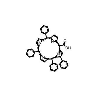 O=C(O)c1c2nc(c(-c3ccccc3)c3ccc([nH]3)c(-c3ccccc3)c3nc(c(-c4ccccc4)c4[nH]c1cc4-c1ccccc1)C=C3)C=C2